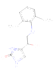 COc1cccc(OC)c1NCC(O)c1c[nH]c(=O)[nH]1